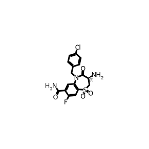 NC(=O)c1cc2c(cc1F)S(=O)(=O)C[C@H](N)C(=O)N2Cc1ccc(Cl)cc1